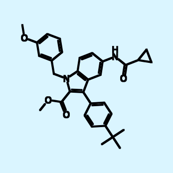 COC(=O)c1c(-c2ccc(C(C)(C)C)cc2)c2cc(NC(=O)C3CC3)ccc2n1Cc1cccc(OC)c1